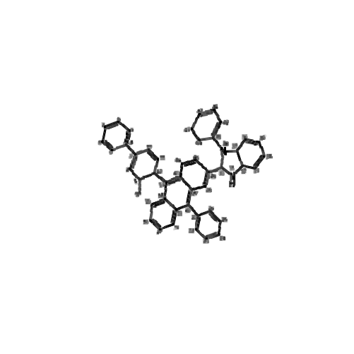 CC1C=C(c2ccccc2)C=CC1c1c2ccccc2c(-c2ccccc2)c2cc(C3NC4C=CC=CC4N3C3=CC=CCC3)ccc12